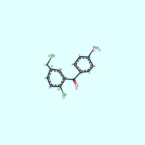 O=C(c1ccc(P)cc1)c1cc(CBr)ccc1Br